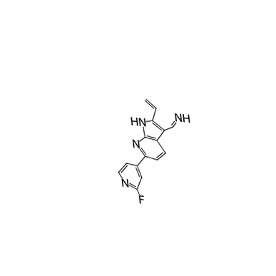 C=Cc1[nH]c2nc(-c3ccnc(F)c3)ccc2c1C=N